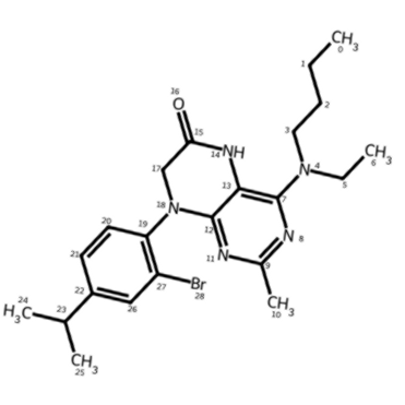 CCCCN(CC)c1nc(C)nc2c1NC(=O)CN2c1ccc(C(C)C)cc1Br